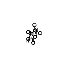 C1=CCC(c2nc(C3=CCCC=C3)cc(N3c4ccccc4C4c5ccncc5N(c5ccccc5)c5ccccc5C43)n2)C=C1